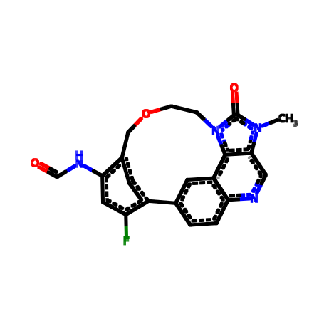 Cn1c(=O)n2c3c4cc(ccc4ncc31)-c1cc(c(NC=O)cc1F)COCC2